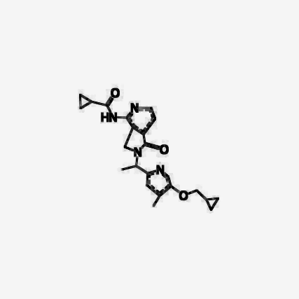 Cc1cc(C(C)N2Cc3c(ccnc3NC(=O)C3CC3)C2=O)ncc1OCC1CC1